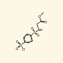 COC(=O)CNS(=O)(=O)c1ccc(S(=O)(=O)Cl)cc1